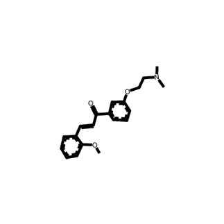 COc1ccccc1C=CC(=O)c1cccc(OCCN(C)C)c1